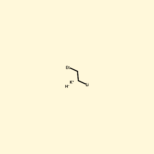 [H-].[K+].[Li][CH2]CCC